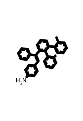 Cc1ccccc1-c1cccc(C(=Cc2ccc(N)cc2)c2ccccc2)c1-c1ccccc1C